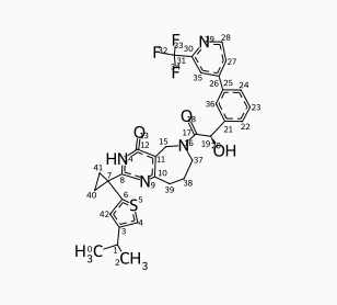 CC(C)c1csc(C2(c3nc4c(c(=O)[nH]3)CN(C(=O)[C@H](O)c3cccc(-c5ccnc(C(F)(F)F)c5)c3)CCC4)CC2)c1